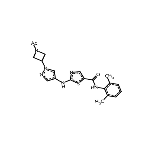 CC(=O)N1CC(n2cc(Nc3ncc(C(=O)Nc4c(C)cccc4C)s3)cn2)C1